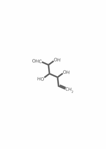 C=CC(O)C(O)C(O)C=O